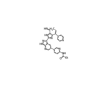 C/C=C(/c1ccncc1)c1nc(-c2n[nH]c3ncc(-c4ccc(NC(=O)CC)nc4)cc23)[nH]c1C=N